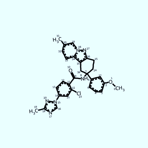 COc1cccc(C2(NC(=O)c3ccc(-n4cnc(C)n4)cc3Cl)CCc3nn4cc(C)ccc4c3C2)c1